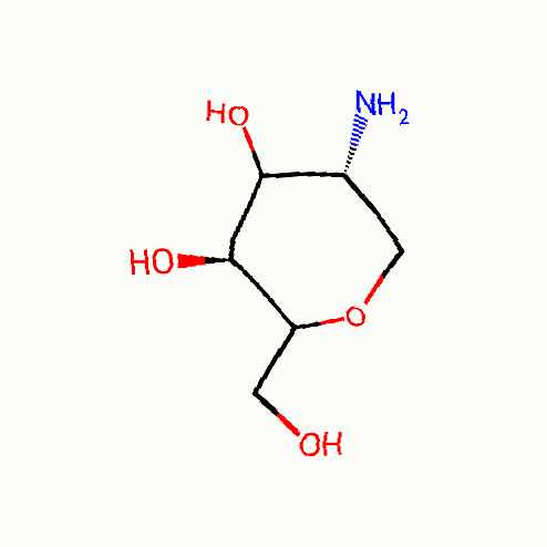 N[C@@H]1COC(CO)[C@@H](O)C1O